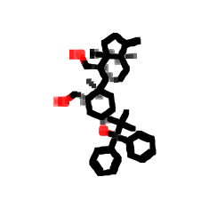 C=C1CC[C@H]2[C@H](CO)[C@@H]([C@@]3(C)CC[C@H](O[Si](c4ccccc4)(c4ccccc4)C(C)(C)C)C[C@@H]3CO)CC[C@]12C